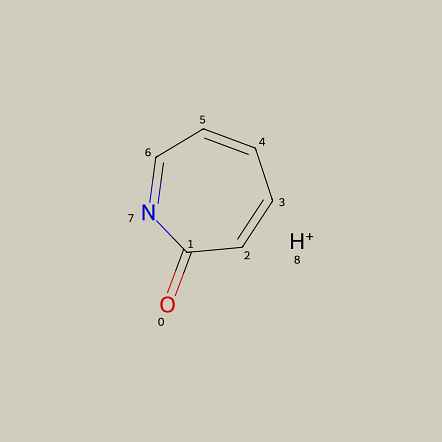 O=c1cccccn1.[H+]